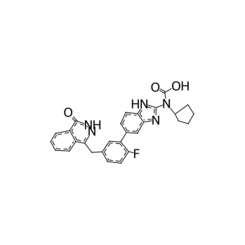 O=C(O)N(c1nc2cc(-c3cc(Cc4n[nH]c(=O)c5ccccc45)ccc3F)ccc2[nH]1)C1CCCC1